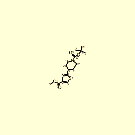 COC(=O)c1csc(C2CCN(C(=O)OC(C)(C)C)CC2)n1